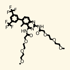 COCCOCCOCC(=O)Nc1nc(NC(=O)COCCOCCOC)c2c(C)c(-c3cc(C(F)(F)F)cc(C(F)(F)F)c3)ccc2n1